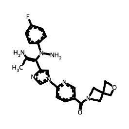 C/C(N)=C(\c1cn(-c2ccc(C(=O)N3CC4(COC4)C3)cn2)cn1)N(N)c1ccc(F)cc1